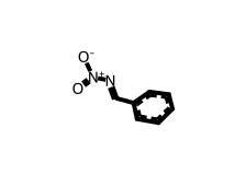 O=[N+]([O-])N=Cc1ccccc1